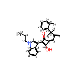 C=C(/C=C1\C(=O)C(c2cn(CCC(C)C)c3ccccc23)=C1O)C(C)(C)c1ccccc1C